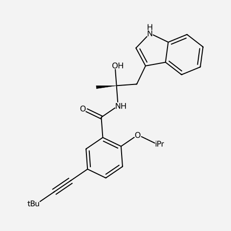 CC(C)Oc1ccc(C#CC(C)(C)C)cc1C(=O)N[C@](C)(O)Cc1c[nH]c2ccccc12